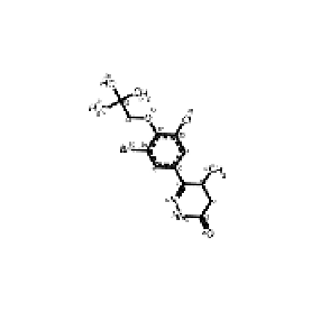 CC1CC(=O)NN=C1c1cc(Cl)c(OCC(C)(C)O)c(Br)c1